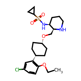 CCOc1ccc(Cl)cc1[C@H]1CC[C@@H](OC[C@@H]2NCCC[C@@H]2NS(=O)(=O)C2CC2)CC1